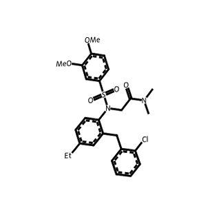 CCc1ccc(N(CC(=O)N(C)C)S(=O)(=O)c2ccc(OC)c(OC)c2)c(Cc2ccccc2Cl)c1